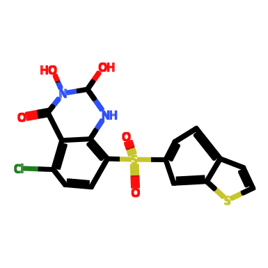 O=C1c2c(Cl)ccc(S(=O)(=O)c3ccc4ccsc4c3)c2NC(O)N1O